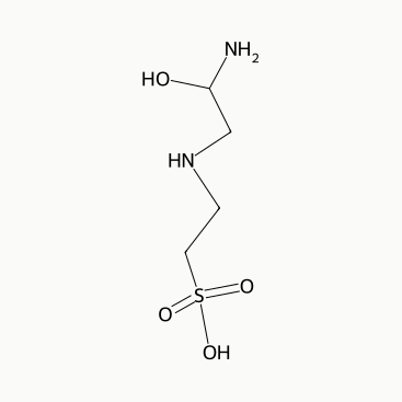 NC(O)CNCCS(=O)(=O)O